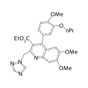 CCCOc1cc(-c2c(C(=O)OCC)c(Cn3cncn3)nc3cc(OC)c(OC)cc23)ccc1OC